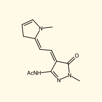 CC(=O)NC1=NN(C)C(=O)/C1=C/C=C1/CC=CN1C